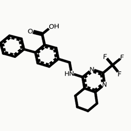 O=C(O)c1cc(CNc2nc(C(F)(F)F)nc3c2CCCC3)ccc1-c1ccccc1